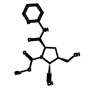 C#C[C@H]1[C@H](CO)C[C@H](C(=O)Nc2ccccn2)N1C(=O)OC(C)(C)C